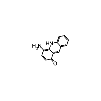 Nc1ccc(=O)c2cc3ccccc3[nH]c1-2